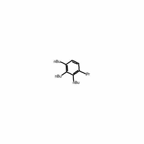 CCCCc1ccc(C(C)C)c(CCCC)c1CCCC